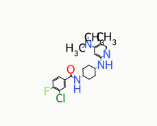 Cc1cnc(N[C@H]2CC[C@@H](NC(=O)c3ccc(F)c(Cl)c3)CC2)cc1N(C)C